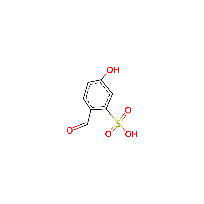 O=Cc1ccc(O)cc1S(=O)(=O)O